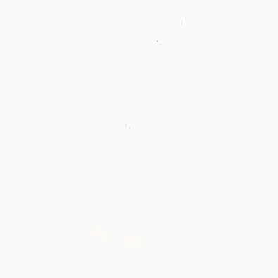 CS(=O)(=O)c1ccc(CCc2ccc(C3CCN(C(=O)O)CC3)cn2)cc1